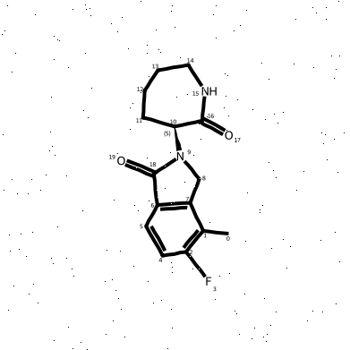 Cc1c(F)ccc2c1CN([C@H]1CCCCNC1=O)C2=O